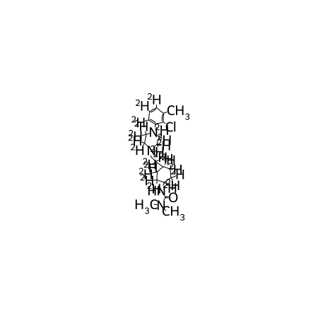 [2H]c1c([2H])c(C)c(Cl)c(N2C([2H])([2H])C([2H])([2H])N(CC([2H])([2H])[C@]3([2H])C([2H])([2H])C([2H])([2H])[C@@]([2H])(NC(=O)N(C)C)C([2H])([2H])C3([2H])[2H])C([2H])([2H])C2([2H])[2H])c1[2H]